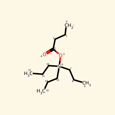 [CH2]CCC(=O)O[Si](CCC)(CCC)CCC